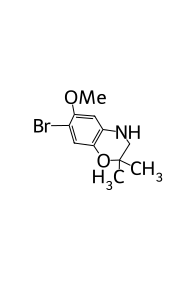 COc1cc2c(cc1Br)OC(C)(C)CN2